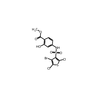 COC(=O)c1ccc(NS(=O)(=O)c2c(Cl)sc(Cl)c2Br)cc1O